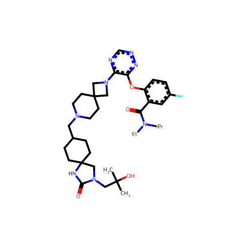 CCN(C(=O)c1cc(F)ccc1Oc1nncnc1N1CC2(CCN(CC3CCC4(CC3)CN(CC(C)(C)O)C(=O)N4)CC2)C1)C(C)C